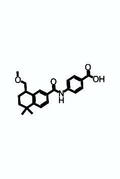 COCC1CCC(C)(C)c2ccc(C(=O)Nc3ccc(C(=O)O)cc3)cc21